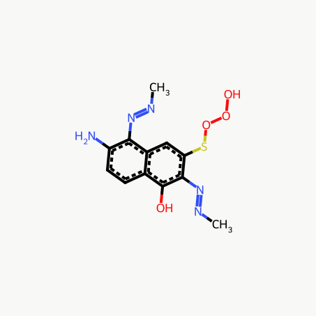 CN=Nc1c(SOOO)cc2c(N=NC)c(N)ccc2c1O